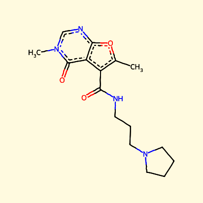 Cc1oc2ncn(C)c(=O)c2c1C(=O)NCCCN1CCCC1